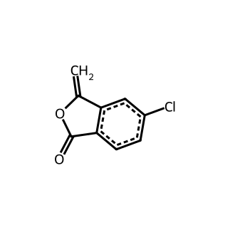 C=C1OC(=O)c2ccc(Cl)cc21